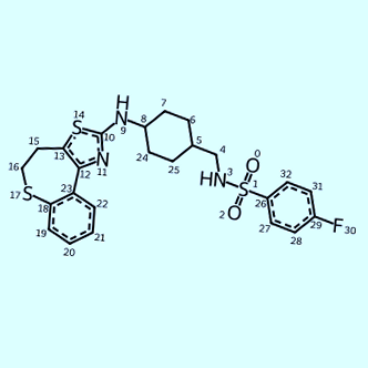 O=S(=O)(NCC1CCC(Nc2nc3c(s2)CCSc2ccccc2-3)CC1)c1ccc(F)cc1